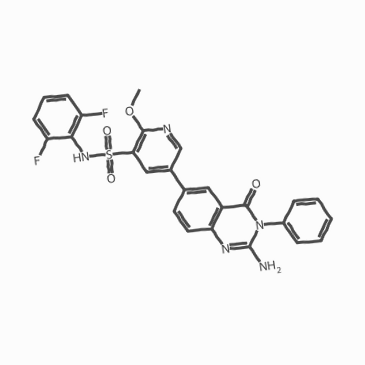 COc1ncc(-c2ccc3nc(N)n(-c4ccccc4)c(=O)c3c2)cc1S(=O)(=O)Nc1c(F)cccc1F